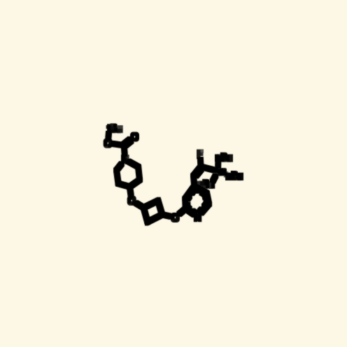 CCC[CH2][Sn]([CH2]CCC)([CH2]CCC)[C](F)=Cc1ccnc(OC2CC(OC3CCN(C(=O)OC(C)(C)C)CC3)C2)c1